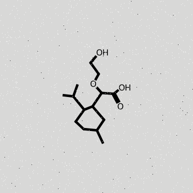 CC1CCC(C(C)C)C(C(OCCO)C(=O)O)C1